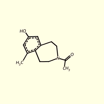 CC(=O)N1CCc2cc(O)cc(C)c2CC1